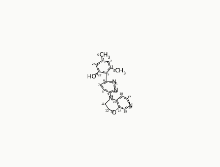 Cc1cc(C)c(-c2ccc(N3CCOc4cnccc43)nn2)c(O)c1